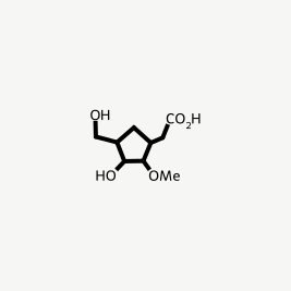 COC1C(CC(=O)O)CC(CO)C1O